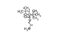 CC(C)(C)CC(C(=O)OCCN)C(C)(C)C